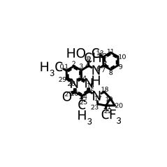 Cc1cc(C(C)Nc2ccccc2C(=O)O)c2nc(N3CC4CC4(C(F)(F)F)C3)c(C)c(=O)n2c1